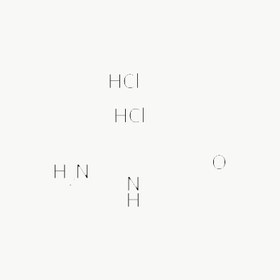 Cl.Cl.NNC=O